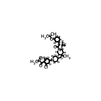 CC(C)Oc1cccc([C@@H](C(=O)N2CCC(C)(CC3CCN(c4ccc(C(=O)N(C)C)c(Cl)c4)CC3)CC2)C(F)(F)F)c1